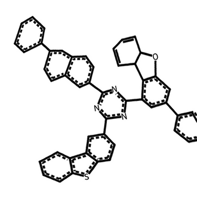 C1=CC2Oc3cc(-c4ccccc4)cc(-c4nc(-c5ccc6cc(-c7ccccc7)ccc6c5)nc(-c5ccc6sc7ccccc7c6c5)n4)c3C2C=C1